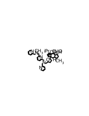 CC(C)C1=CC2CC3(C=O)[C@@H]4CC[C@@H](C)[C@H]4CC2(C2CCC(CN(Cc4ccccn4)Cc4cccc(CN(C)Cc5ccccn5)n4)O2)C13C(=O)O